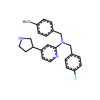 CC(C)COc1ccc(CN(Cc2ccc(F)cc2)c2cc(C3CCNC3)ccn2)cc1